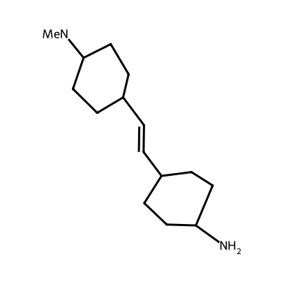 CNC1CCC(/C=C/C2CCC(N)CC2)CC1